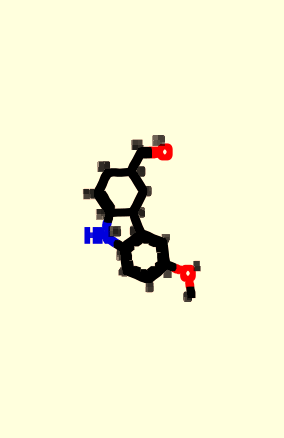 COc1ccc2c(c1)C1CC(C=O)CC=C1N2